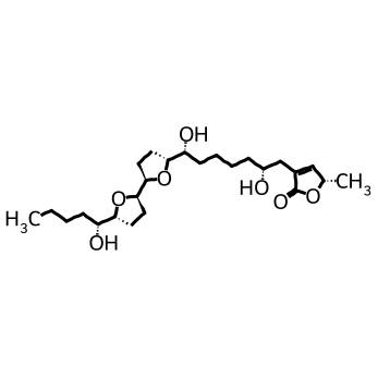 CCCC[C@@H](O)[C@H]1CC[C@H]([C@H]2CC[C@H]([C@H](O)CCCC[C@@H](O)CC3=C[C@H](C)OC3=O)O2)O1